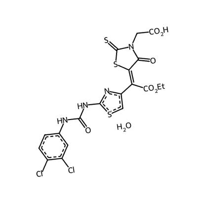 CCOC(=O)C(=C1SC(=S)N(CC(=O)O)C1=O)c1csc(NC(=O)Nc2ccc(Cl)c(Cl)c2)n1.O